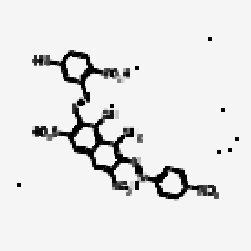 [NH]c1ccc(S(=O)(=O)O)c(/N=N/c2c(S(=O)(=O)O)cc3cc(S(=O)(=O)O)c(/N=N/c4ccc([N+](=O)[O-])cc4)c(N)c3c2O)c1